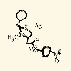 CN1/C(=N/C2CCCCCC2)SCC1CC(=O)Nc1ccc([N+](=O)[O-])cc1.Cl